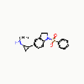 CCCCCCNC1CC1c1ccc2c(c1)CCN2S(=O)(=O)c1ccccc1